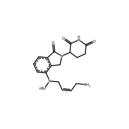 CCCCN(C/C=C\CN)c1cccc2c1CN(C1CCC(=O)NC1=O)C2=O